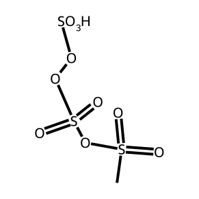 CS(=O)(=O)OS(=O)(=O)OOS(=O)(=O)O